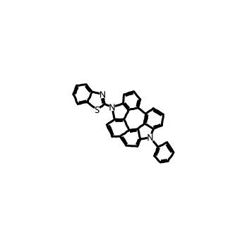 c1ccc(-n2c3cccc4c3c3c5c(ccc32)ccc2c5c3c-4cccc3n2-c2nc3ccccc3s2)cc1